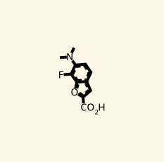 CN(C)c1ccc2cc(C(=O)O)oc2c1F